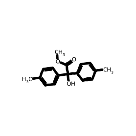 COC(=O)C(O)(c1ccc(C)cc1)c1ccc(C)cc1